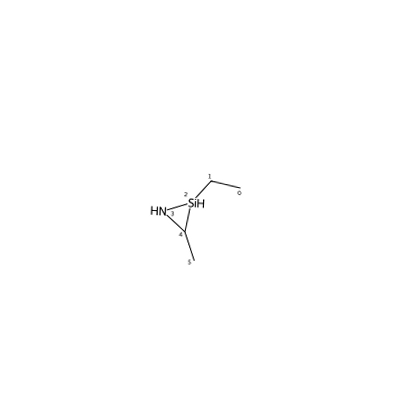 CC[SiH]1NC1C